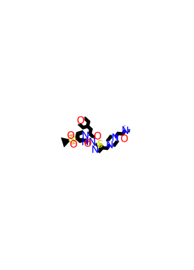 CN(C)C(=O)CN1CCN(Cc2cnc(NC(=O)C(CC3CCOCC3)n3ccc(S(=O)(=O)C4CC4)cc3=O)s2)CC1